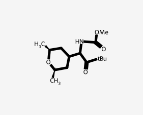 COC(=O)NC(C(=O)C(C)(C)C)C1C[C@@H](C)O[C@@H](C)C1